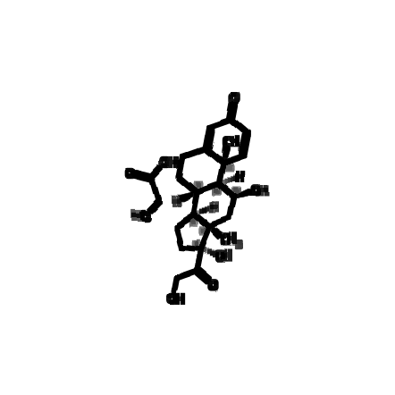 C[C@]12C=CC(=O)C=C1CC[C@@H]1[C@@H]2[C@@H](O)C[C@@]2(C)[C@H]1CC[C@]2(O)C(=O)CO.O=C(O)CO